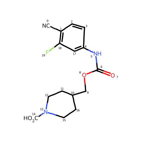 N#Cc1ccc(NC(=O)OCC2CCN(C(=O)O)CC2)cc1F